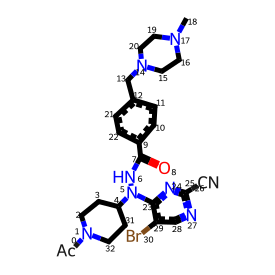 CC(=O)N1CCC(N(NC(=O)c2ccc(CN3CCN(C)CC3)cc2)c2nc(C#N)ncc2Br)CC1